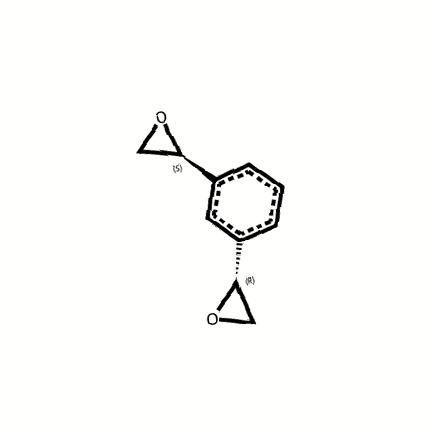 c1cc([C@@H]2CO2)cc([C@H]2CO2)c1